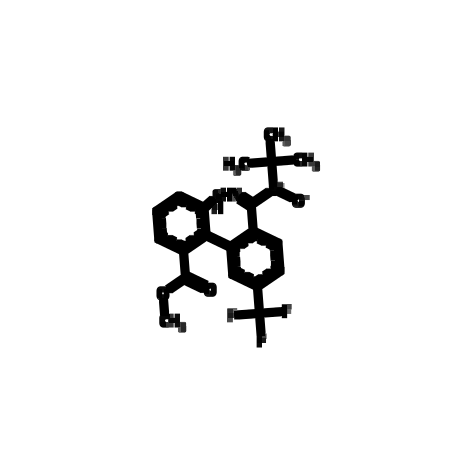 COC(=O)c1cccc(S)c1-c1cc(C(F)(F)F)ccc1C(=N)[S+]([O-])C(C)(C)C